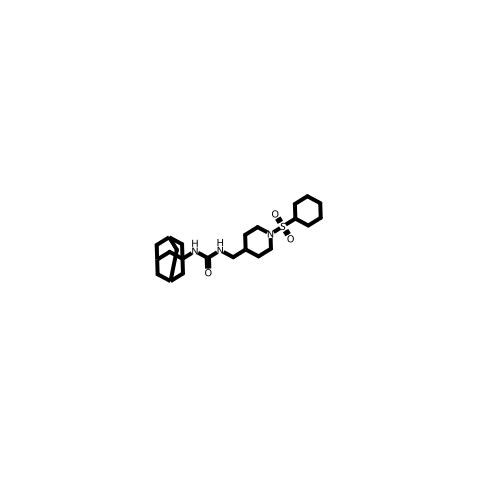 O=C(NCC1CCN(S(=O)(=O)C2CCCCC2)CC1)NC12CC3CC(CC(C3)C1)C2